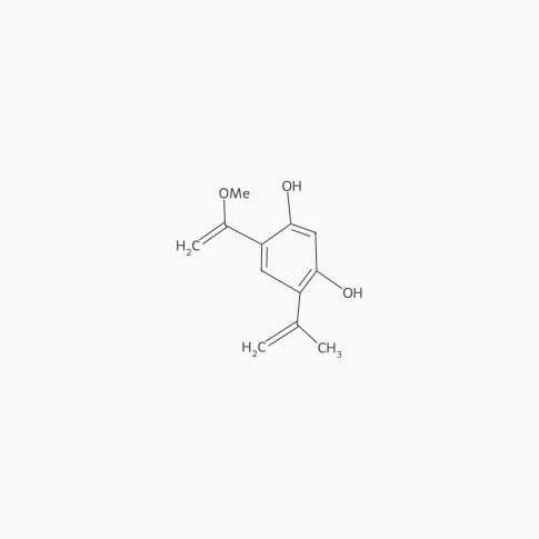 C=C(C)c1cc(C(=C)OC)c(O)cc1O